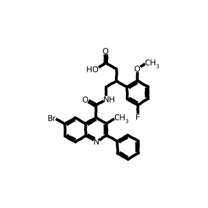 COc1ccc(F)cc1C(CNC(=O)c1c(C)c(-c2ccccc2)nc2ccc(Br)cc12)CC(=O)O